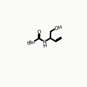 C=CC(CO)NC(=O)C(C)(C)C